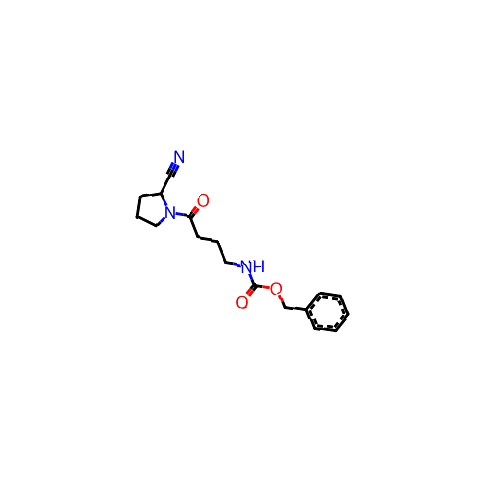 N#CC1CCCN1C(=O)CCCNC(=O)OCc1ccccc1